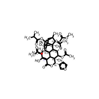 COC(=O)C[C@H]1C2(C)CC34OC5(C)O[C@@]6([C@H](OC(C)=O)C(OC(C)=O)[C@]7(C)C(/C(=C(/O)C(C)C)C(=O)O[C@H]7c7ccoc7)[C@@]6(O5)[C@H](OC(C)=O)[C@@]3(O)C2OC(=O)C(C)C)[C@]14C